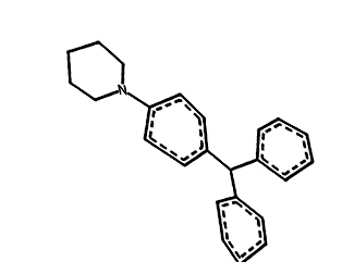 c1ccc(C(c2ccccc2)c2ccc(N3CCCCC3)cc2)cc1